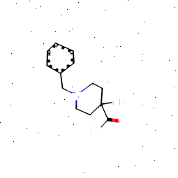 CCCCC1(C(=O)CCC)CCN(Cc2ccccc2)CC1